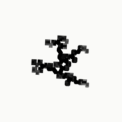 CCOC(=O)NN[C@@H](CCCNC(N)N)C(=O)N[C@@H](CCCNC(N)N)C(=O)NC(=O)OCC